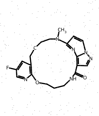 CN1CCCCc2cc(F)cnc2OCCCNC(=O)c2cnn3ccc1nc23